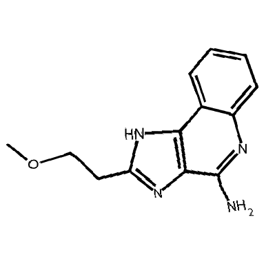 COCCc1nc2c(N)nc3ccccc3c2[nH]1